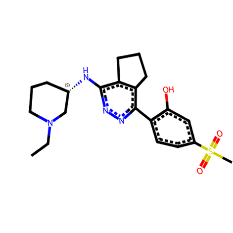 CCN1CCC[C@H](Nc2nnc(-c3ccc(S(C)(=O)=O)cc3O)c3c2CCC3)C1